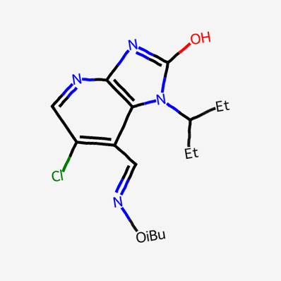 CCC(CC)n1c(O)nc2ncc(Cl)c(/C=N/OCC(C)C)c21